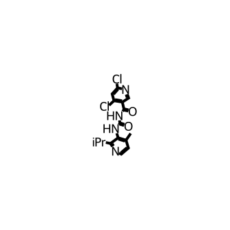 Cc1ccnc(C(C)C)c1NC(=O)NC(=O)c1cnc(Cl)cc1Cl